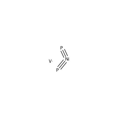 [P]#[Ni]#[P].[V]